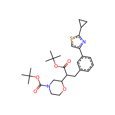 CC(C)(C)OC(=O)C(Cc1cccc(-c2csc(C3CC3)n2)c1)C1CN(C(=O)OC(C)(C)C)CCO1